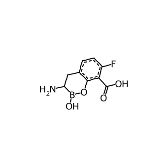 NC1Cc2ccc(F)c(C(=O)O)c2OB1O